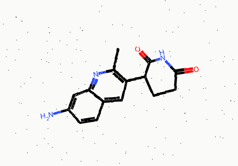 Cc1nc2cc(N)ccc2cc1C1CCC(=O)NC1=O